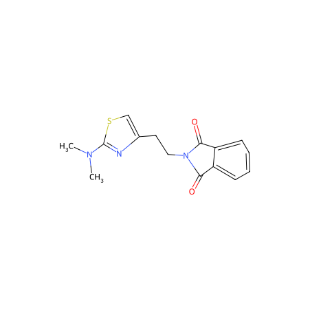 CN(C)c1nc(CCN2C(=O)c3ccccc3C2=O)cs1